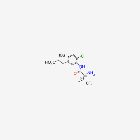 C[C@H]([C@@H](N)C(=O)Nc1cc(CC(C(=O)O)C(C)(C)C)ccc1Cl)C(F)(F)F